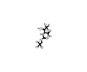 C=C(C(NC(=O)OCC(Cl)(Cl)Cl)C(=O)O)C(F)(F)F